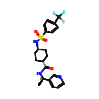 C[C@@H](NC(=O)[C@H]1CC[C@H](NS(=O)(=O)c2ccc(C(F)(F)F)cc2)CC1)c1cccnc1